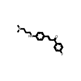 CN(C)CCCNc1ccc(C=CC(=O)c2ccc(F)cc2)cc1